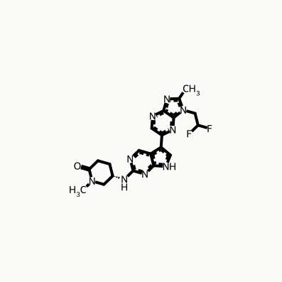 Cc1nc2ncc(-c3c[nH]c4nc(N[C@H]5CCC(=O)N(C)C5)ncc34)nc2n1CC(F)F